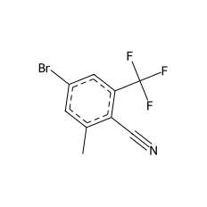 Cc1cc(Br)cc(C(F)(F)F)c1C#N